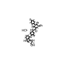 CC(C)n1cc(C(=O)Nc2ccc(Oc3ccnc4[nH]nc(N[C@H](C)CO)c34)c(F)c2)c(=O)n(-c2ccc(F)cc2)c1=O.Cl